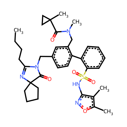 CCCCC1=NC2(CCCC2)C(=O)N1Cc1ccc(-c2ccccc2S(=O)(=O)Nc2noc(C)c2C)c(CN(C)C(=O)C2(C)CC2)c1